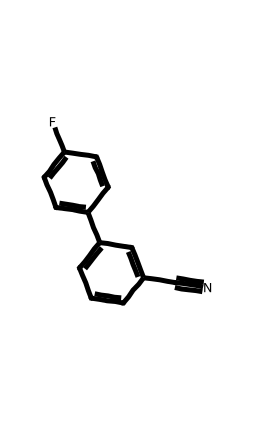 N#Cc1cccc(-c2ccc(F)cc2)c1